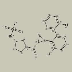 CS(=O)(=O)N[C@H]1CCN(C(=O)[C@@H]2C[C@H]2c2c(F)cccc2-c2ccccc2Cl)C1